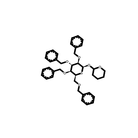 c1ccc(COC[C@@H]2S[C@H](OC3CCCCO3)[C@H](OCc3ccccc3)[C@@H](OCc3ccccc3)[C@@H]2OCc2ccccc2)cc1